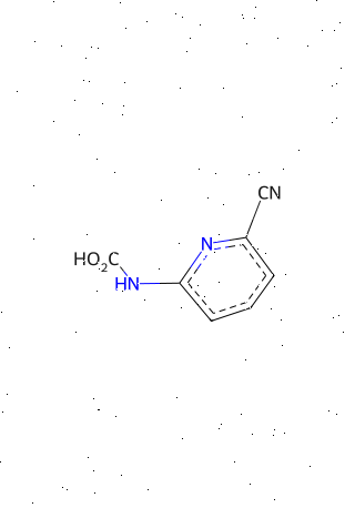 N#Cc1cccc(NC(=O)O)n1